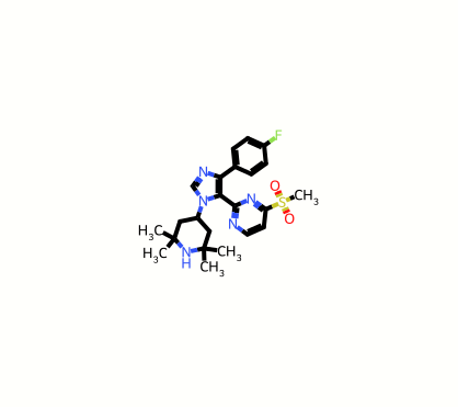 CC1(C)CC(n2cnc(-c3ccc(F)cc3)c2-c2nccc(S(C)(=O)=O)n2)CC(C)(C)N1